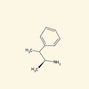 CC(c1ccccc1)[C@H](C)N